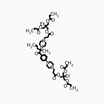 C=CCC(C)(C(=O)c1ccc(N2CCN(CCC(=O)OCC(CC)(COC(=O)C=C)COC(=O)C=C)CC2)cc1)N1CCN(CCC(=O)OCC(CC)(COC(=O)C=C)COC(=O)C=C)CC1